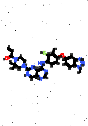 C=CC(=O)N1CCN(c2ncc3ncnc(Nc4ccc(Oc5ccc6c(c5)nnn6C)c(C)c4F)c3n2)CC1(C)C